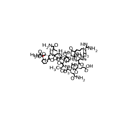 CC[C@H](C)[C@H](NC(=O)[C@H](CC(=O)O)NC(=O)[C@@H](N)CCCNC(=N)N)C(=O)N[C@@H](CCC(=O)O)C(=O)N[C@@H](CCC(N)=O)C(=O)N[C@H](C(=O)N1CCC[C@H]1C(=O)N[C@@H](CCC(N)=O)C(=O)N[C@@H](CCC(N)=O)C(=O)N1CCC[C@H]1C(=O)O)C(C)C